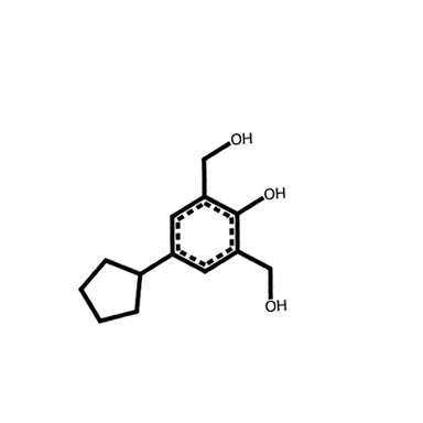 OCc1cc(C2CCCC2)cc(CO)c1O